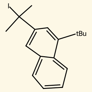 CC(C)(C)c1cc(C(C)(C)I)cc2ccccc12